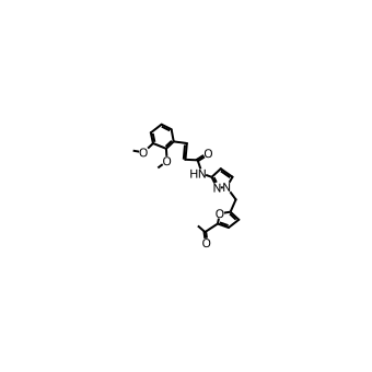 COc1cccc(C=CC(=O)Nc2ccn(Cc3ccc(C(C)=O)o3)n2)c1OC